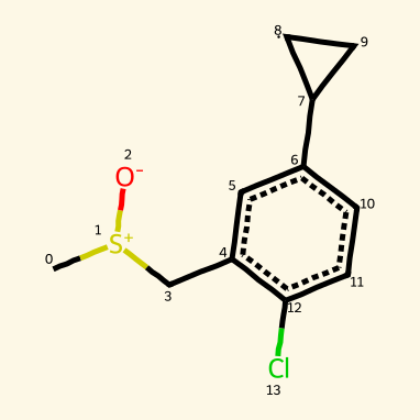 C[S+]([O-])Cc1cc(C2[CH]C2)ccc1Cl